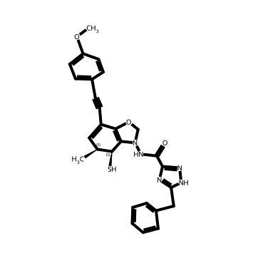 COc1ccc(C#CC2=C[C@H](C)[C@H](S)C3=C2OCN3NC(=O)c2n[nH]c(Cc3ccccc3)n2)cc1